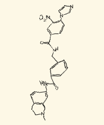 CN1CCc2ccc(NC(=O)c3cccc(CNC(=O)c4ccc(-n5ccnc5)c([N+](=O)[O-])c4)c3)cc2C1